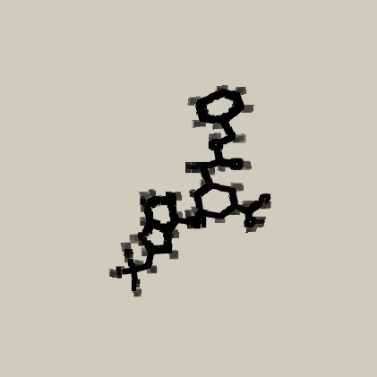 O=C(N[C@@H]1C[C@H](Nc2ncnc3sc(CC(F)(F)F)cc23)C[C@H](C(=O)O)C1)OCc1ccccc1